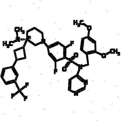 COc1ccc(CN(c2ccncn2)S(=O)(=O)c2c(F)cc(N3CCC[C@@](C4CC(c5cccc(C(F)(F)F)c5)C4)(N(C)C)C3)cc2F)c(OC)c1